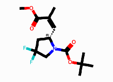 COC(=O)C(C)=C[C@H]1CC(F)(F)CN1C(=O)OC(C)(C)C